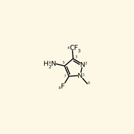 Cn1nc(C(F)(F)F)c(N)c1F